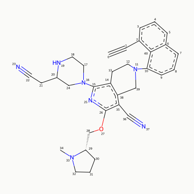 C#Cc1cccc2cccc(N3CCc4c(N5CCNC(CC#N)C5)nc(OC[C@@H]5CCCN5C)c(C#N)c4C3)c12